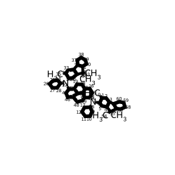 Cc1cc2c(cc1N(c1ccccc1)c1ccc3ccc4c(N(c5ccccc5)c5cc6c(cc5C)-c5ccccc5C6(C)C)ccc5ccc1c3c54)C(C)(C)c1ccccc1-2